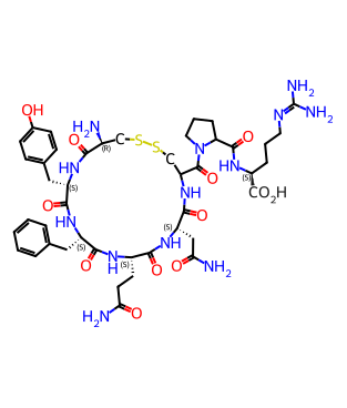 NC(=O)CC[C@@H]1NC(=O)[C@H](Cc2ccccc2)NC(=O)[C@H](Cc2ccc(O)cc2)NC(=O)[C@@H](N)CSSCC(C(=O)N2CCCC2C(=O)N[C@@H](CCCN=C(N)N)C(=O)O)NC(=O)[C@H](CC(N)=O)NC1=O